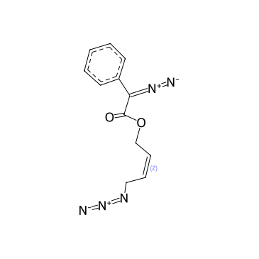 [N-]=[N+]=NC/C=C\COC(=O)C(=[N+]=[N-])c1ccccc1